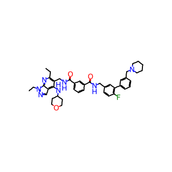 CCc1nc2c(cnn2CC)c(NC2CCOCC2)c1CNC(=O)c1cccc(C(=O)NCc2ccc(F)c(-c3cccc(CN4CCCCC4)c3)c2)c1